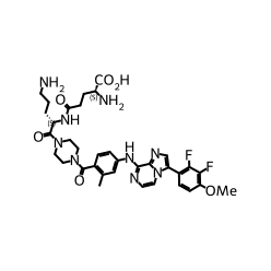 COc1ccc(-c2cnc3c(Nc4ccc(C(=O)N5CCN(C(=O)[C@H](CCCN)NC(=O)CC[C@H](N)C(=O)O)CC5)c(C)c4)nccn23)c(F)c1F